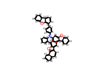 c1ccc(N(c2ccc(-c3cccc4c3oc3ccccc34)cc2)c2ccc3c(c2)oc2ccccc23)c(-c2cccc3c2oc2c4ccccc4ccc32)c1